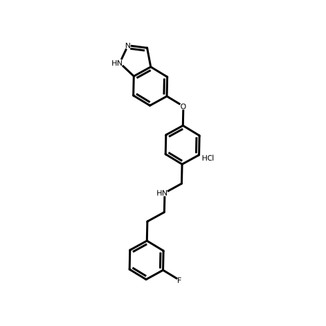 Cl.Fc1cccc(CCNCc2ccc(Oc3ccc4[nH]ncc4c3)cc2)c1